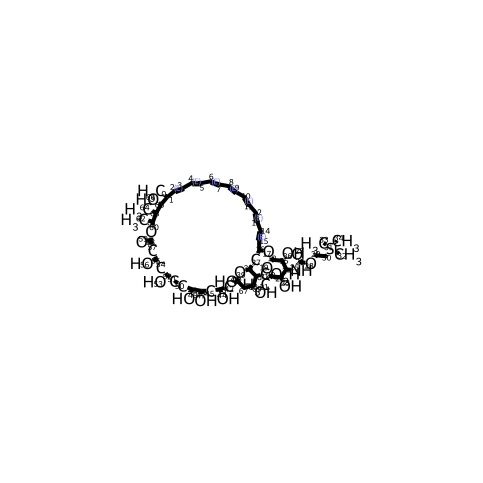 CC1/C=C/C=C/C=C/C=C/C=C/C=C/C=C/C(OC2OC(C)C(O)C(NC(=O)OCC[Si](C)(C)C)C2O)CC2OC(O)(CC(O)CC(O)C(O)CCC(O)CC(O)CC(=O)OC(C)C(C)C1O)CC(O)C2C(=O)O